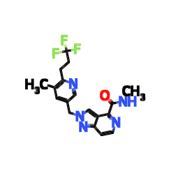 CNC(=O)c1nccc2nn(Cc3cnc(CCC(F)(F)F)c(C)c3)cc12